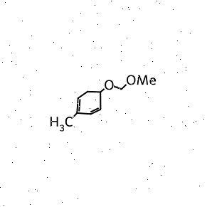 COCOC1C=CC(C)=CC1